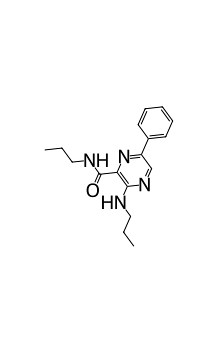 CCCNC(=O)c1nc(-c2ccccc2)cnc1NCCC